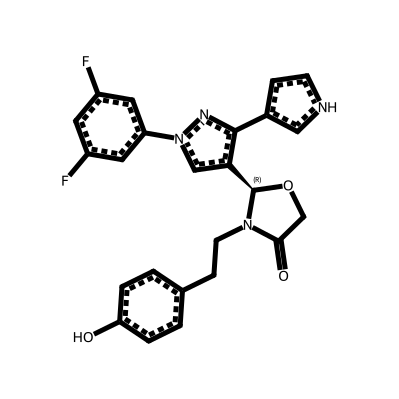 O=C1CO[C@H](c2cn(-c3cc(F)cc(F)c3)nc2-c2cc[nH]c2)N1CCc1ccc(O)cc1